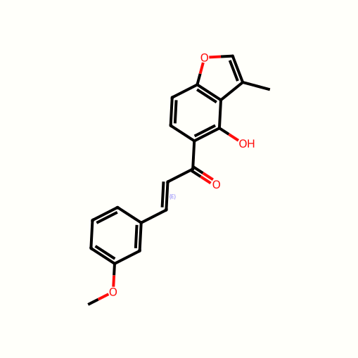 COc1cccc(/C=C/C(=O)c2ccc3occ(C)c3c2O)c1